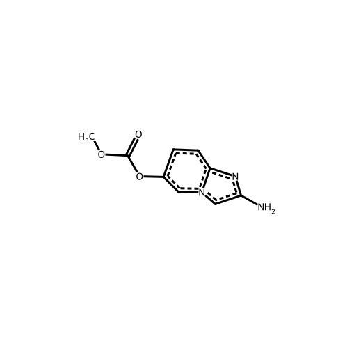 COC(=O)Oc1ccc2nc(N)cn2c1